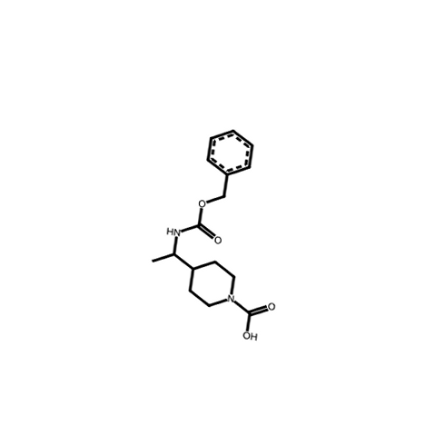 CC(NC(=O)OCc1ccccc1)C1CCN(C(=O)O)CC1